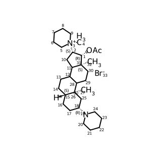 CC(=O)O[C@H]1[C@@H]([N+]2(C)CCCCC2)CC2C3CC[C@H]4CC[C@@H](N5CCCCC5)C[C@]4(C)C3CC[C@@]21C.[Br-]